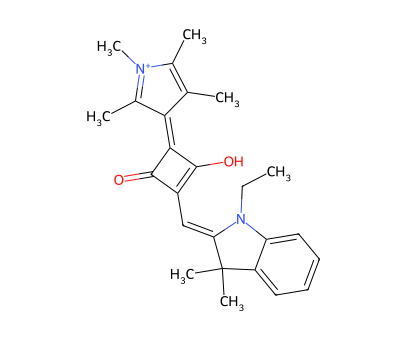 CCN1/C(=C\C2=C(O)C(=C3\C(C)=C(C)[N+](C)=C3C)/C2=O)C(C)(C)c2ccccc21